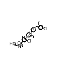 CC[C@H]1CN(c2ncc(-c3nnc(CO)o3)cc2Cl)CCN1C1CCN(Cc2ccc(Cl)cc2F)CC1